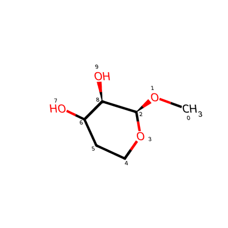 CO[C@H]1OCCC(O)[C@H]1O